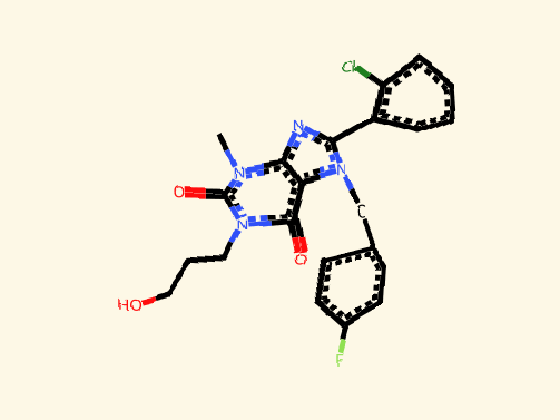 Cn1c(=O)n(CCCO)c(=O)c2c1nc(-c1ccccc1Cl)n2Cc1ccc(F)cc1